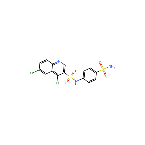 NS(=O)(=O)c1ccc(NS(=O)(=O)c2cnc3ccc(Cl)cc3c2Cl)cc1